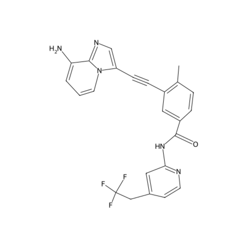 Cc1ccc(C(=O)Nc2cc(CC(F)(F)F)ccn2)cc1C#Cc1cnc2c(N)cccn12